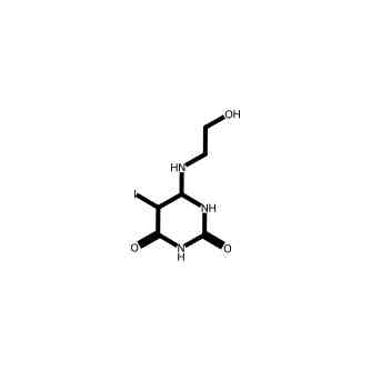 O=C1NC(=O)C(I)C(NCCO)N1